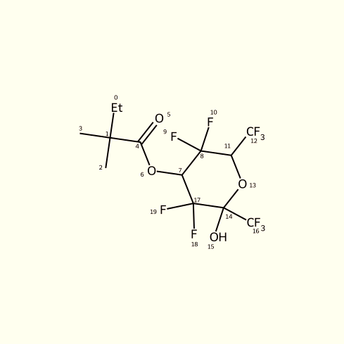 CCC(C)(C)C(=O)OC1C(F)(F)C(C(F)(F)F)OC(O)(C(F)(F)F)C1(F)F